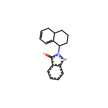 O=c1c2ccccc2[se]n1C1CCCC2CC=CC=C21